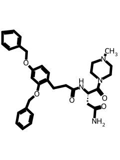 CN1CCN(C(=O)[C@H](CC(N)=O)NC(=O)CCc2ccc(OCc3ccccc3)cc2OCc2ccccc2)CC1